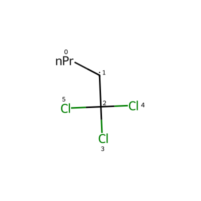 [CH2]CC[CH]C(Cl)(Cl)Cl